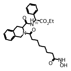 CCOC(=O)[C@@H](NC(=O)C1Cc2ccccc2CN1C(=O)CCCCCCC(=O)NO)c1ccccc1